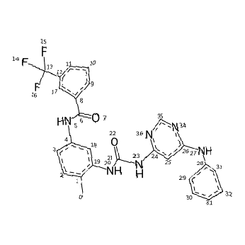 Cc1ccc(NC(=O)c2cccc(C(F)(F)F)c2)cc1NC(=O)Nc1cc(Nc2ccccc2)ncn1